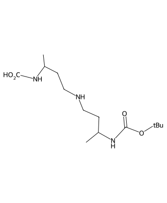 CC(CCNCCC(C)NC(=O)OC(C)(C)C)NC(=O)O